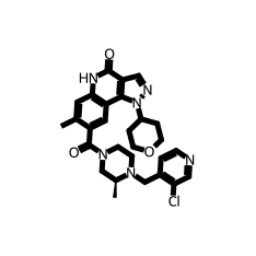 Cc1cc2[nH]c(=O)c3cnn(C4CCOCC4)c3c2cc1C(=O)N1CCN(Cc2ccncc2Cl)[C@@H](C)C1